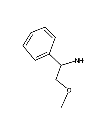 COCC([NH])c1ccccc1